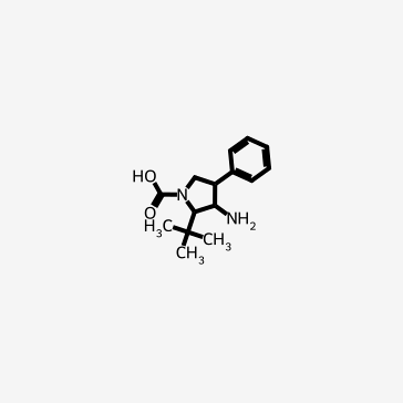 CC(C)(C)C1C(N)C(c2ccccc2)CN1C(=O)O